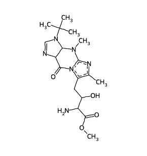 COC(=O)C(N)C(O)Cc1c(C)nc2n1C(=O)C1N=CN(C(C)(C)C)C1N2C